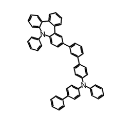 c1ccc(-c2ccc(N(c3ccccc3)c3ccc(-c4cccc(-c5ccc6c(c5)-c5ccccc5-c5ccccc5N6c5ccccc5)c4)cc3)cc2)cc1